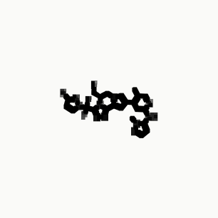 Cc1cnc(Nc2ccnn2C)cc1-c1cc2n(c1)C[C@H](CF)n1c-2nnc1C(F)(F)n1ccc(F)n1